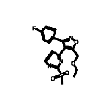 CCOCc1onc(-c2ccc(F)cc2)c1-c1ccnc(S(C)(=O)=O)n1